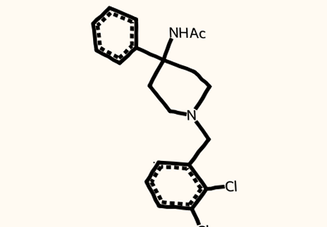 CC(=O)NC1(c2ccccc2)CCN(Cc2[c]ccc(Cl)c2Cl)CC1